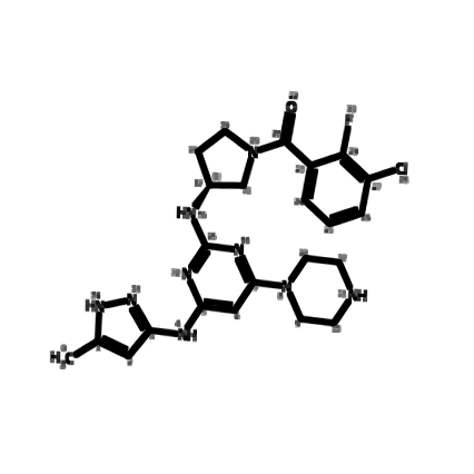 Cc1cc(Nc2cc(N3CCNCC3)nc(N[C@H]3CCN(C(=O)c4cccc(Cl)c4F)C3)n2)n[nH]1